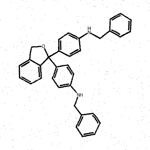 c1ccc(CNc2ccc(C3(c4ccc(NCc5ccccc5)cc4)OCc4ccccc43)cc2)cc1